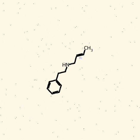 C/C=C/CNCCc1ccccc1